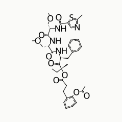 CC[C@@](C)(OC(=O)CCc1ccccc1OC(C)=O)C(=O)[C@H](Cc1ccccc1)NC(=O)[C@H](COC)NC(=O)[C@H](COC)NC(=O)c1cnc(C)s1